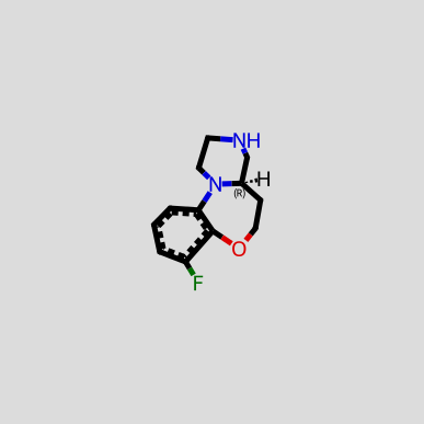 Fc1cccc2c1OCC[C@@H]1CNCCN21